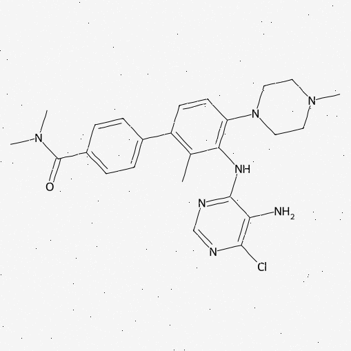 Cc1c(-c2ccc(C(=O)N(C)C)cc2)ccc(N2CCN(C)CC2)c1Nc1ncnc(Cl)c1N